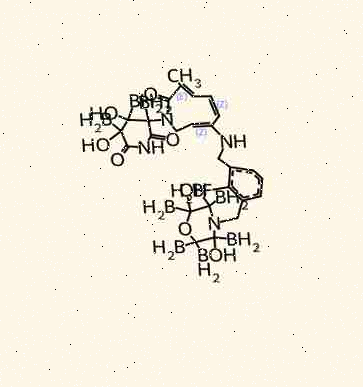 BC1(B)OC(B)(O)C(B)(B)N(Cc2cccc(CNC3=C\CN(C4(B)C(=O)NC(=O)C(B)(O)C4(B)O)C(=O)/C(C)=C/C=C\3)c2F)C1(B)O